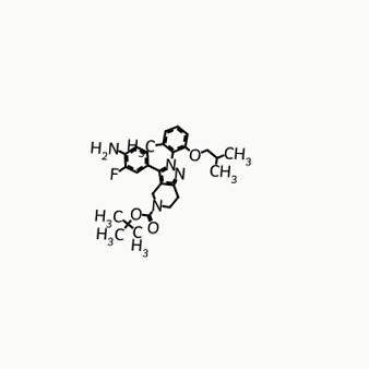 Cc1cccc(OCC(C)C)c1-n1nc2c(c1-c1ccc(N)c(F)c1)CN(C(=O)OC(C)(C)C)CC2